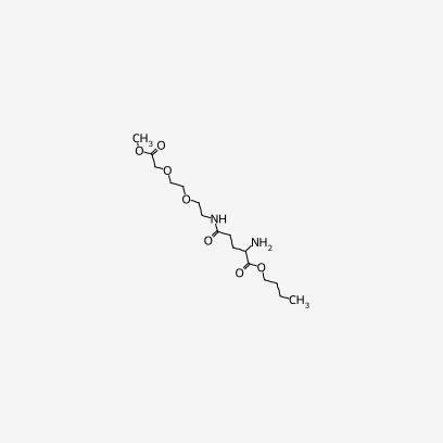 CCCCOC(=O)C(N)CCC(=O)NCCOCCOCC(=O)OC